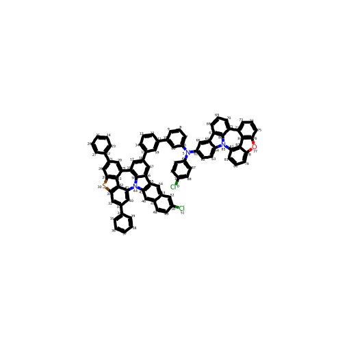 Clc1ccc(N(c2cccc(-c3cccc(-c4cc5c6cc(-c7ccccc7)cc7sc8cc(-c9ccccc9)cc(c8c76)n6c7cc8ccc(Cl)cc8cc7c(c4)c56)c3)c2)c2ccc3c(c2)c2cccc4c5cccc6oc7cccc(c7c65)n3c42)cc1